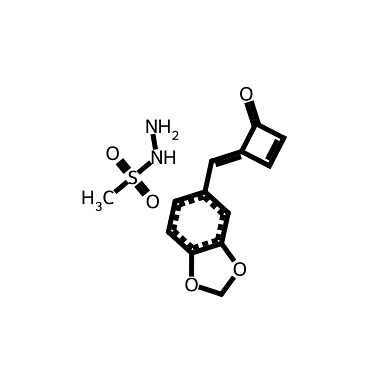 CS(=O)(=O)NN.O=C1C=CC1=Cc1ccc2c(c1)OCO2